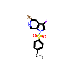 Cc1ccc(S(=O)(=O)n2cc(I)c3cc(Br)ncc32)cc1